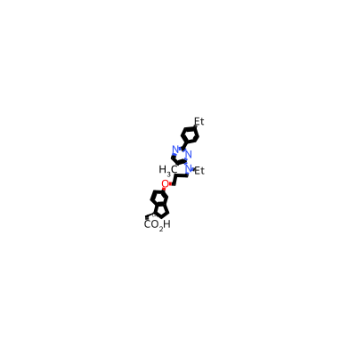 CCc1ccc(-c2ncc(C)c(N(CC)CCCOc3ccc4c(c3)CC[C@H]4CC(=O)O)n2)cc1